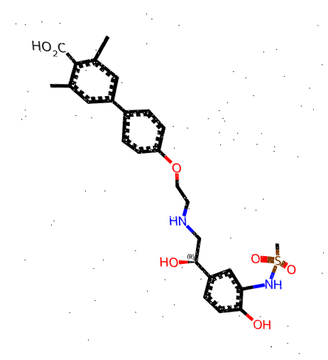 Cc1cc(-c2ccc(OCCNC[C@H](O)c3ccc(O)c(NS(C)(=O)=O)c3)cc2)cc(C)c1C(=O)O